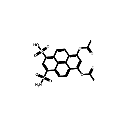 CC(=O)Oc1cc(OC(C)=O)c2ccc3c(S(=O)(=O)O)cc(S(N)(=O)=O)c4ccc1c2c43